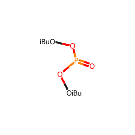 CC(C)COO[P](=O)OOCC(C)C